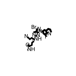 CNC(=O)CCC[C@H](CCC#N)Nc1ncc2c(Br)nn(-c3cc(F)c4ncccc4c3)c2n1